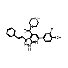 O=C(c1cc(-c2ccc(O)c(F)c2)nc2[nH]nc(C=Cc3ccccc3)c12)N1CCNCC1